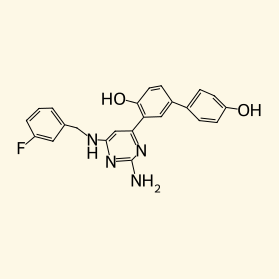 Nc1nc(NCc2cccc(F)c2)cc(-c2cc(-c3ccc(O)cc3)ccc2O)n1